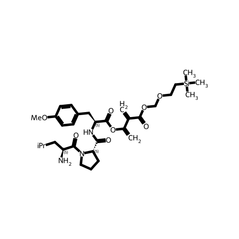 C=C(OC(=O)[C@H](Cc1ccc(OC)cc1)NC(=O)[C@@H]1CCCN1C(=O)[C@@H](N)CC(C)C)C(=C)C(=O)OCOCC[Si](C)(C)C